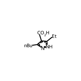 CCCCc1n[nH]c(CC)c1C(=O)O